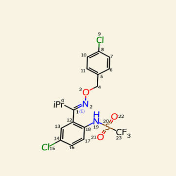 CC(C)/C(=N\OCc1ccc(Cl)cc1)c1cc(Cl)ccc1NS(=O)(=O)C(F)(F)F